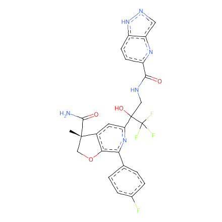 C[C@]1(C(N)=O)COc2c1cc(C(O)(CNC(=O)c1ccc3[nH]ncc3n1)C(F)(F)F)nc2-c1ccc(F)cc1